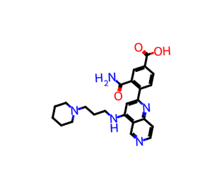 NC(=O)c1cc(C(=O)O)ccc1-c1cc(NCCCN2CCCCC2)c2cnccc2n1